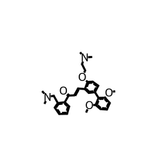 COc1cccc(OC)c1-c1ccc(OCCN(C)C)c(C=CC(=O)c2ccccc2CN(C)C)c1